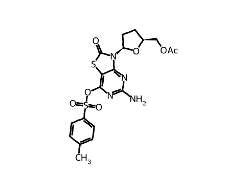 CC(=O)OC[C@@H]1CC[C@H](n2c(=O)sc3c(OS(=O)(=O)c4ccc(C)cc4)nc(N)nc32)O1